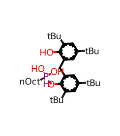 CCCCCCCC[PH](O)(O)Oc1c(Cc2cc(C(C)(C)C)cc(C(C)(C)C)c2O)cc(C(C)(C)C)cc1C(C)(C)C